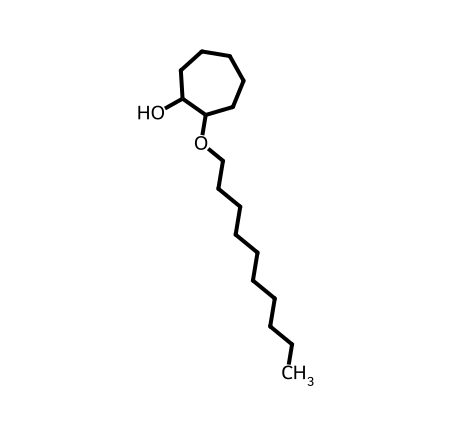 CCCCCCCCCCOC1CCCCCC1O